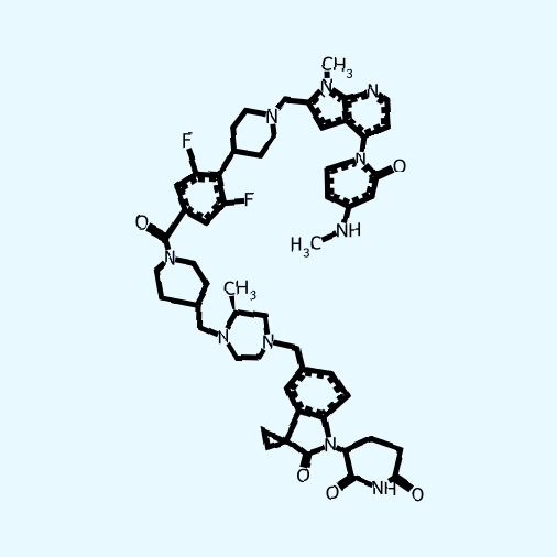 CNc1ccn(-c2ccnc3c2cc(CN2CCC(c4c(F)cc(C(=O)N5CCC(CN6CCN(Cc7ccc8c(c7)C7(CC7)C(=O)N8C7CCC(=O)NC7=O)C[C@@H]6C)CC5)cc4F)CC2)n3C)c(=O)c1